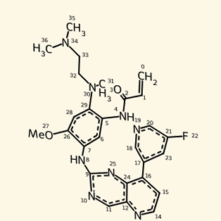 C=CC(=O)Nc1cc(Nc2ncc3nccc(-c4cncc(F)c4)c3n2)c(OC)cc1N(C)CCN(C)C